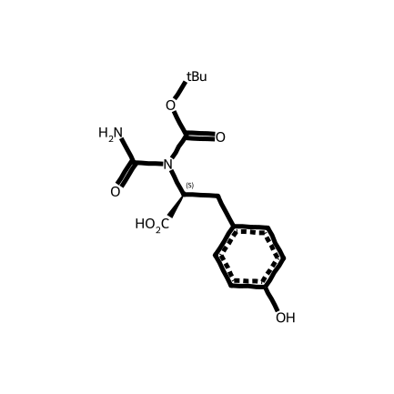 CC(C)(C)OC(=O)N(C(N)=O)[C@@H](Cc1ccc(O)cc1)C(=O)O